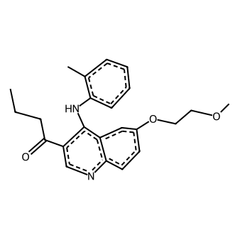 CCCC(=O)c1cnc2ccc(OCCOC)cc2c1Nc1ccccc1C